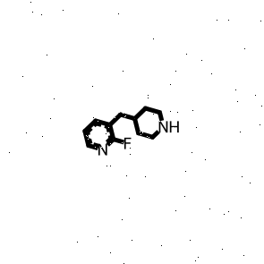 Fc1ncccc1CC1CCNCC1